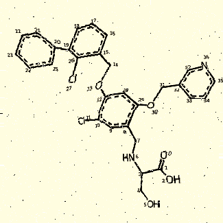 O=C(O)C(CO)NCc1cc(Cl)c(OCc2cccc(-c3ccccc3)c2Cl)cc1OCc1cccnc1